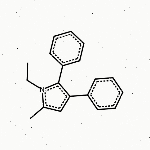 CCn1c(C)cc(-c2ccccc2)c1-c1ccccc1